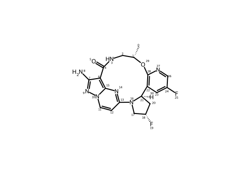 C[C@H]1CNC(=O)c2c(N)nn3ccc(nc23)N2C[C@@H](F)C[C@@H]2c2cc(F)cnc2O1